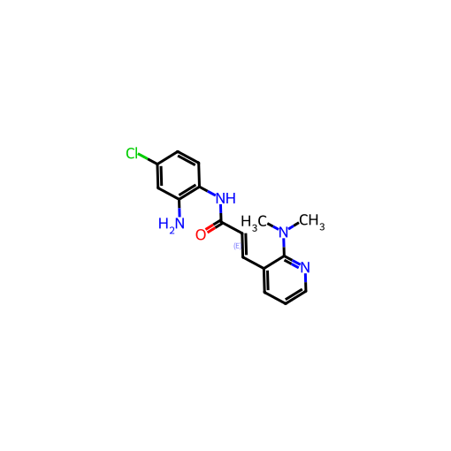 CN(C)c1ncccc1/C=C/C(=O)Nc1ccc(Cl)cc1N